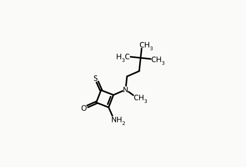 CN(CCC(C)(C)C)c1c(N)c(=O)c1=S